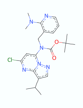 CC(C)c1cnn2c(N(Cc3cccnc3N(C)C)C(=O)OC(C)(C)C)cc(Cl)nc12